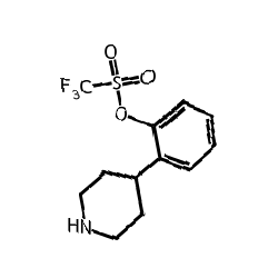 O=S(=O)(Oc1ccccc1C1CCNCC1)C(F)(F)F